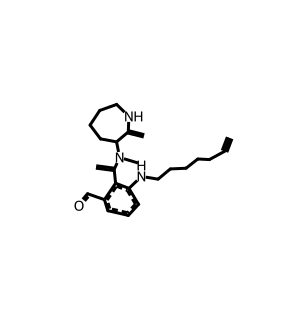 C#CCCCCCNc1cccc(C=O)c1C(=C)N(C)C1CCCCNC1=C